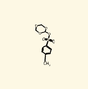 Cc1ccc(S(=O)(=O)OC2OCOCO2)cc1